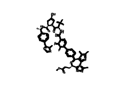 COC(=O)CC[C@@H]1N=C(c2ccc(-c3ccc(C(=O)N[C@H](C(=O)N4C[C@H](O)C[C@H]4C(=O)N[C@@H](C)c4ccc(-c5scnc5C)cc4)C(C)(C)C)c(F)c3F)cc2)c2c(sc(C)c2C)-n2c(C)nnc21